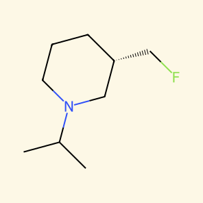 CC(C)N1CCC[C@H](CF)C1